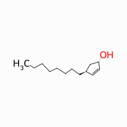 CCCCCCCC[C@@H]1C=C[C@@H](O)C1